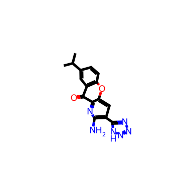 CC(C)c1ccc2oc3cc(-c4nnn[nH]4)c(N)nc3c(=O)c2c1